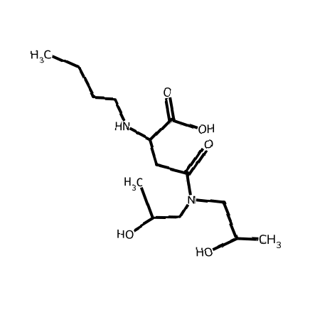 CCCCNC(CC(=O)N(CC(C)O)CC(C)O)C(=O)O